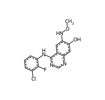 CONc1cc2c(Nc3cccc(Cl)c3F)ncnc2cc1O